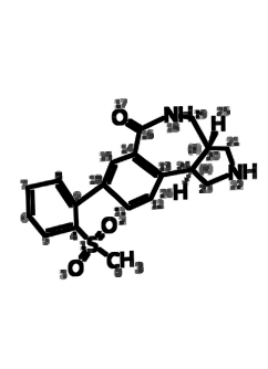 CS(=O)(=O)c1ccccc1-c1ccc2c(c1)C(=O)NC[C@@H]1CNC[C@@H]21